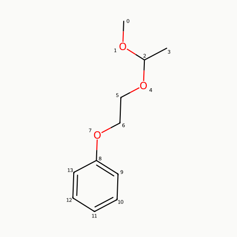 COC(C)OCCOc1ccccc1